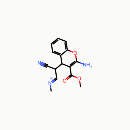 C/N=C/C(C#N)C1C(C(=O)OC)=C(N)Oc2ccccc21